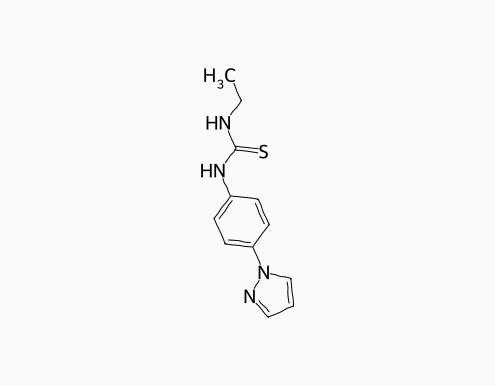 CCNC(=S)Nc1ccc(-n2cccn2)cc1